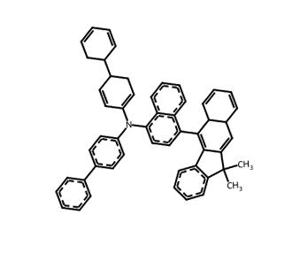 CC1(C)C2=CC3C=CC=CC3C(c3ccc(N(C4=CCC(C5C=CC=CC5)C=C4)c4ccc(-c5ccccc5)cc4)c4ccccc34)=C2c2ccccc21